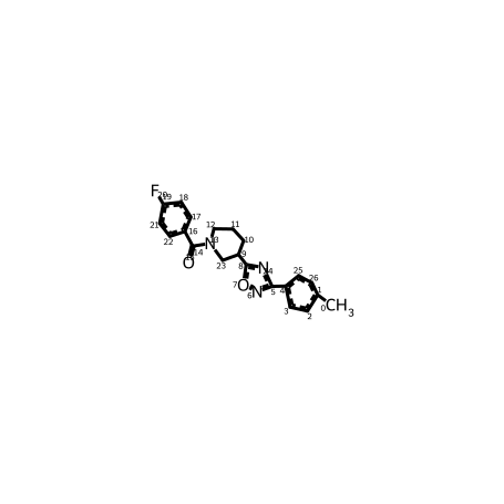 Cc1ccc(-c2noc(C3CCCN(C(=O)c4ccc(F)cc4)C3)n2)cc1